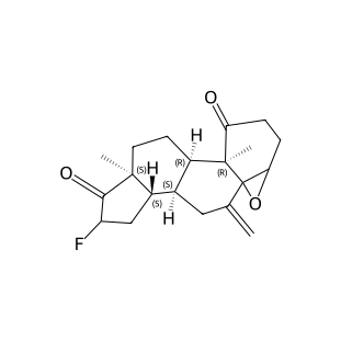 C=C1C[C@@H]2[C@@H](CC[C@]3(C)C(=O)C(F)C[C@@H]23)[C@@]2(C)C(=O)CCC3OC132